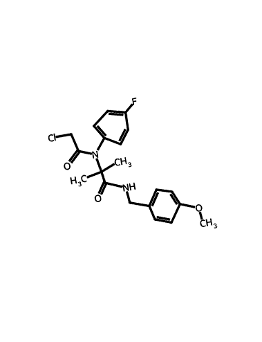 COc1ccc(CNC(=O)C(C)(C)N(C(=O)CCl)c2ccc(F)cc2)cc1